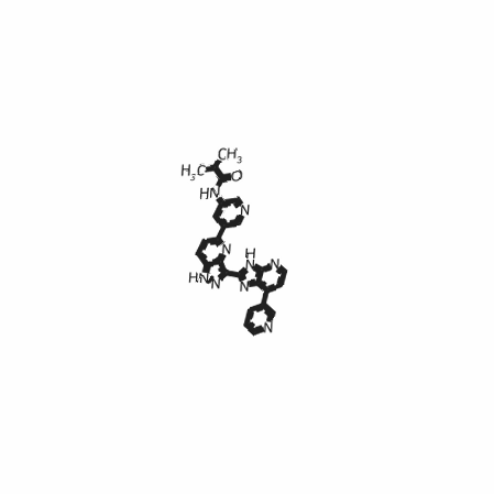 CC(C)C(=O)Nc1cncc(-c2ccc3[nH]nc(-c4nc5c(-c6cccnc6)ccnc5[nH]4)c3n2)c1